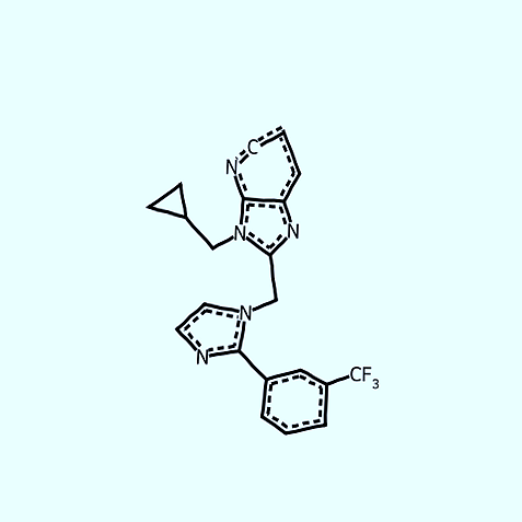 FC(F)(F)c1cccc(-c2nccn2Cc2nc3cccnc3n2CC2CC2)c1